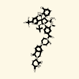 COc1cc(C(=O)N2CCN(c3ccc4c(c3)CN(C3CCC(=O)NC3=O)C4=O)C[C@@H]2C)ccc1N1[C@@H](CC(C)(C)C)[C@@]2(CNc3cc(C(F)(F)F)ncc32)[C@@H](c2cccc(Cl)c2F)[C@@H]1C(N)=O